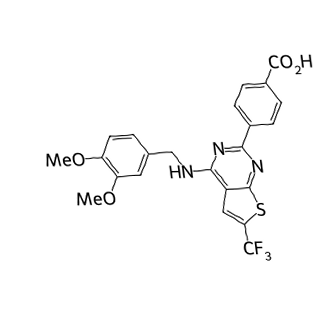 COc1ccc(CNc2nc(-c3ccc(C(=O)O)cc3)nc3sc(C(F)(F)F)cc23)cc1OC